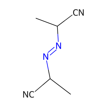 CC(C#N)N=NC(C)C#N